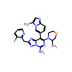 Cc1cnc2ccc(-c3c(N4CCOCC4C)nc(N)n4nc(Cc5ncccc5F)nc34)cn12